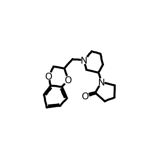 O=C1CCCN1C1CCCN(CC2COc3ccccc3O2)C1